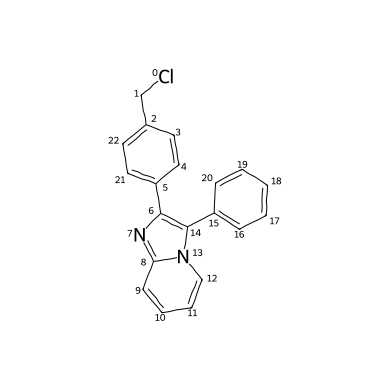 ClCc1ccc(-c2nc3ccccn3c2-c2ccccc2)cc1